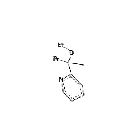 CCOC(C)(c1ccccn1)C(C)C